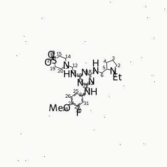 CCN1CCCC1CNc1nc(NCN2CCS(=O)(=O)CC2)nc(Nc2ccc(OC)c(F)c2)n1